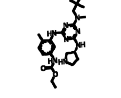 CCOC(=O)Nc1ccc(C)c(Nc2nc(N[C@H]3CCNC3)nc(N(C)CC(C)(C)C)n2)c1